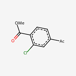 COC(=O)c1ccc(C(C)=O)cc1Cl